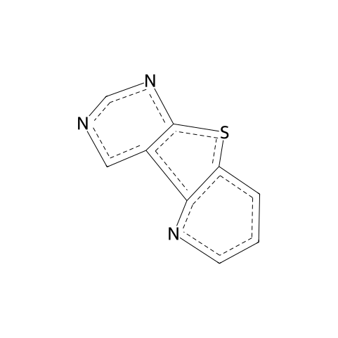 c1cnc2c(c1)sc1ncncc12